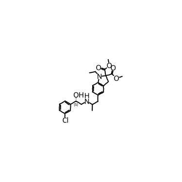 CCN1c2ccc(CC(C)NC[C@@H](O)c3cccc(Cl)c3)cc2CC1(C(=O)OC)C(=O)OC